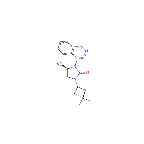 CC1(C)CC(N2C[C@@H](C#N)N(c3cncc4ccccc34)C2=O)C1